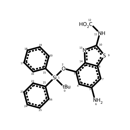 CC(C)(C)[Si](Oc1cc(N)cc2sc(NC(=O)O)nc12)(c1ccccc1)c1ccccc1